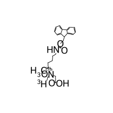 [3H]CC(=O)N(CC(=O)O)C[C@@H](C)CCCCNC(=O)OCC1c2ccccc2-c2ccccc21